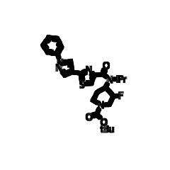 CC(C)N(C(=O)c1csc(-c2cnn(-c3ccccc3)c2)n1)C1CCN(C(=O)OC(C)(C)C)CC1F